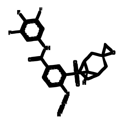 [N-]=[N+]=Nc1ccc(C(=O)Nc2cc(F)c(F)c(F)c2)cc1S(=O)(=O)[C@H]1C2CCC1C[C@]1(CO1)C2